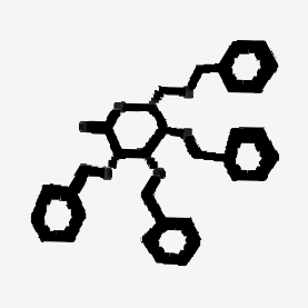 O=C1O[C@H](COCc2ccccc2)[C@@H](OCc2ccccc2)[C@H](OCc2ccccc2)[C@@H]1OCc1ccccc1